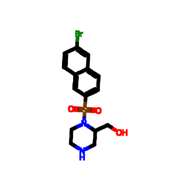 O=S(=O)(c1ccc2cc(Br)ccc2c1)N1CCNCC1CO